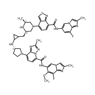 COc1c(NC(=O)c2ccc(N3CC[C@H](NC4CC4C[C@@H]4CN(c5ccc(C(=O)Nc6cc(F)c7nc(C)cn7c6)c6nscc56)C[C@H](C)N4)C3)c3nc(C)nn23)cn2cc(C)nc2c1F